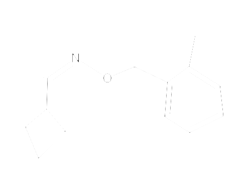 Cc1ccccc1CO/N=[C]\C1CCC1